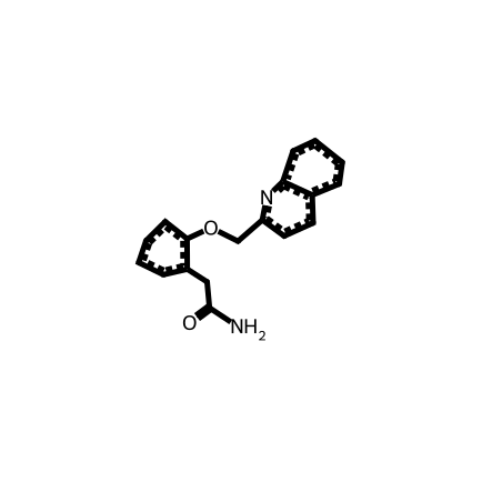 NC(=O)Cc1ccccc1OCc1ccc2ccccc2n1